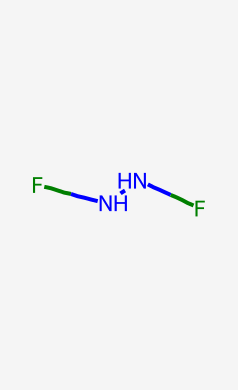 FNNF